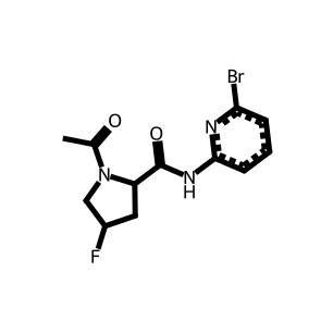 CC(=O)N1CC(F)CC1C(=O)Nc1cccc(Br)n1